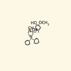 COc1ccc(CC2(C)CN(C(c3ccccc3)c3ccccc3)CCN2C)cc1O